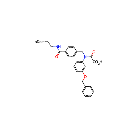 CCCCCCCCCCCCNC(=O)c1ccc(CN(C(=O)C(=O)O)c2cccc(OCc3ccccc3)c2)cc1